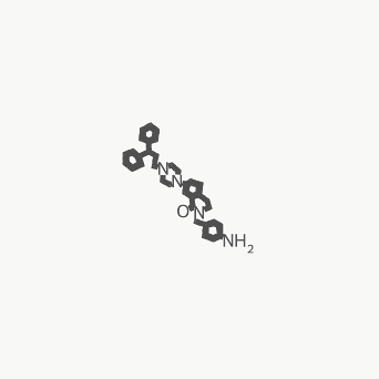 Nc1ccc(CN2CCc3ccc(N4CCN(CCC(c5ccccc5)c5ccccc5)CC4)cc3C2=O)cc1